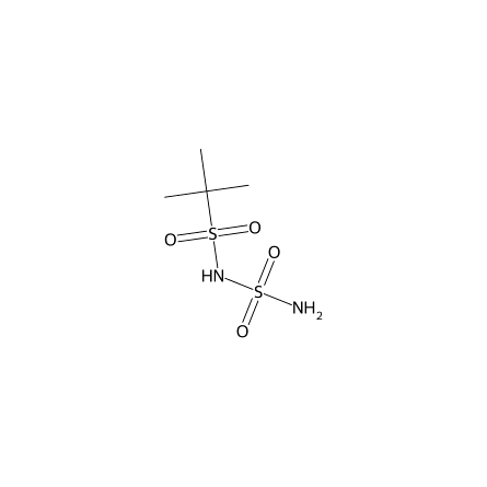 CC(C)(C)S(=O)(=O)NS(N)(=O)=O